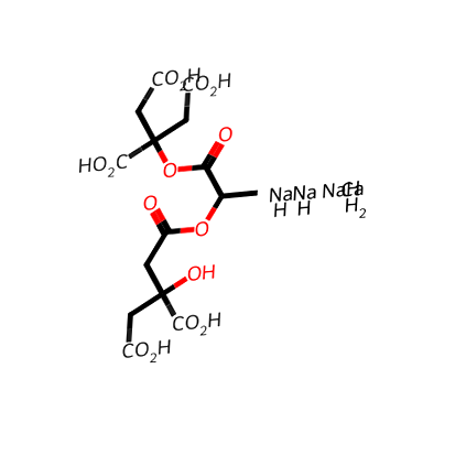 CC(OC(=O)CC(O)(CC(=O)O)C(=O)O)C(=O)OC(CC(=O)O)(CC(=O)O)C(=O)O.[CaH2].[NaH].[NaH].[NaH]